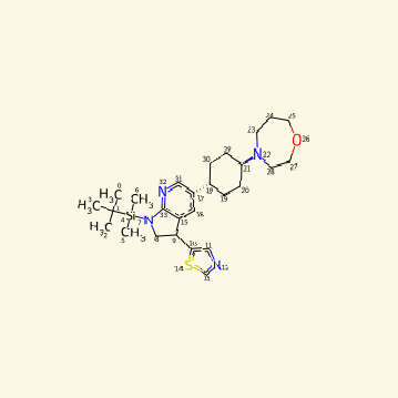 CC(C)(C)[Si](C)(C)N1CC(c2cncs2)c2cc([C@H]3CC[C@H](N4CCCOCC4)CC3)cnc21